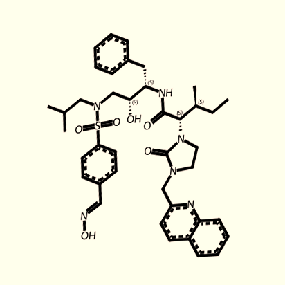 CC[C@H](C)[C@@H](C(=O)N[C@@H](Cc1ccccc1)[C@H](O)CN(CC(C)C)S(=O)(=O)c1ccc(C=NO)cc1)N1CCN(Cc2ccc3ccccc3n2)C1=O